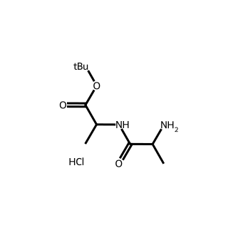 CC(N)C(=O)NC(C)C(=O)OC(C)(C)C.Cl